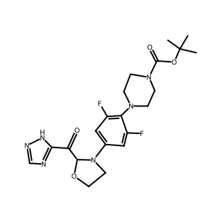 CC(C)(C)OC(=O)N1CCN(c2c(F)cc(N3CCOC3C(=O)c3ncn[nH]3)cc2F)CC1